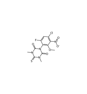 COc1c(-n2c(=O)n(C)c(=S)n(C)c2=O)c(F)cc(Cl)c1[N+](=O)[O-]